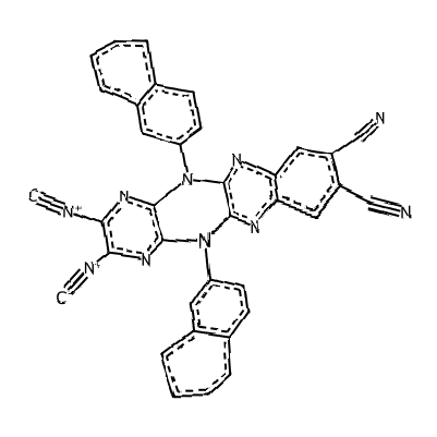 [C-]#[N+]c1nc2c(nc1[N+]#[C-])N(c1ccc3ccccc3c1)c1nc3cc(C#N)c(C#N)cc3nc1N2c1ccc2ccccc2c1